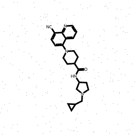 N#Cc1ccc(N2CCC(C(=O)NC3CCN(CC4CC4)C3)CC2)c2cccnc12